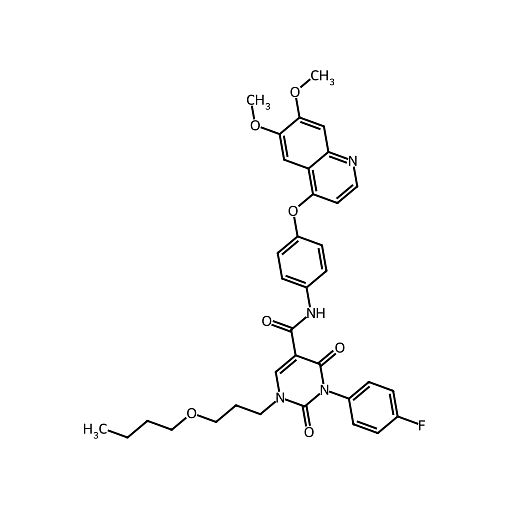 CCCCOCCCn1cc(C(=O)Nc2ccc(Oc3ccnc4cc(OC)c(OC)cc34)cc2)c(=O)n(-c2ccc(F)cc2)c1=O